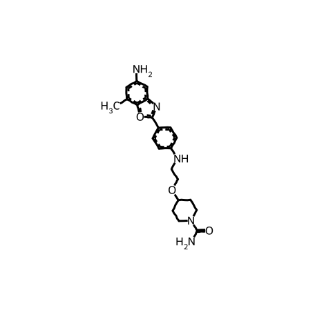 Cc1cc(N)cc2nc(-c3ccc(NCCOC4CCN(C(N)=O)CC4)cc3)oc12